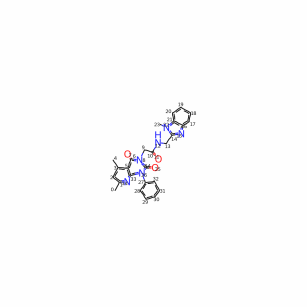 Cc1cc(C)c2c(=O)n(CC(=O)NCc3nc4ccccc4n3C)c(=O)n(-c3ccccc3)c2n1